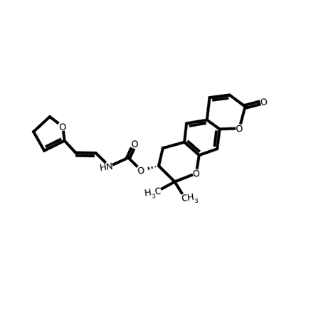 CC1(C)Oc2cc3oc(=O)ccc3cc2C[C@H]1OC(=O)N/C=C/C1=CCCO1